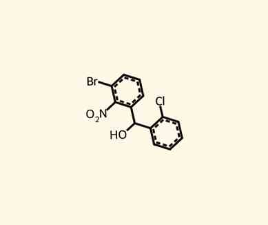 O=[N+]([O-])c1c(Br)cccc1C(O)c1ccccc1Cl